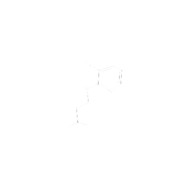 [2H]c1cccnc1NCCC(C)C